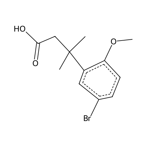 COc1ccc(Br)cc1C(C)(C)CC(=O)O